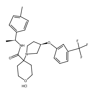 Cc1ccc([C@H](C)NC(=O)C2(N3CC[C@@H](Oc4cccc(C(F)(F)F)c4)C3)CCOCC2)cc1.Cl